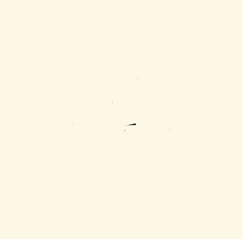 O=C(O)CS.O=C1O[C@H](C(O)CO)C(O)=C1O